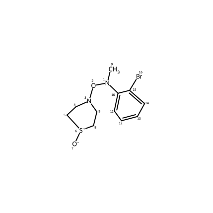 CN(ON1CC[S+]([O-])CC1)c1ccccc1Br